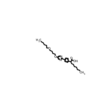 CCCCCCCC(C(=O)O)c1ccc(-c2ncc(OCCCCOCCCCCC)cn2)cc1